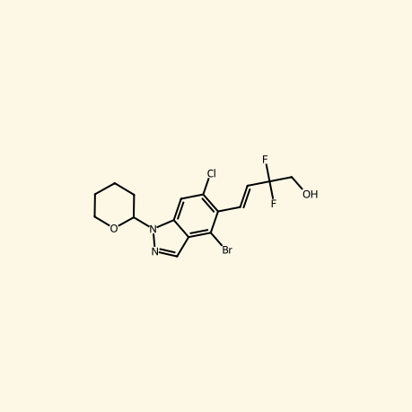 OCC(F)(F)/C=C/c1c(Cl)cc2c(cnn2C2CCCCO2)c1Br